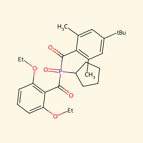 CCOc1cccc(OCC)c1C(=O)P(=O)(C(=O)c1c(C)cc(C(C)(C)C)cc1C)C1CCCC1